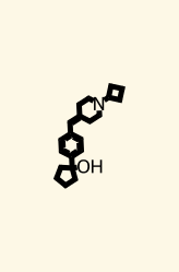 OC1(c2ccc(C=C3CCN(C4CCC4)CC3)cc2)CCCC1